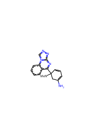 CNC1(c2nc3nncn3c3ccccc23)C=CC=C(N)C1